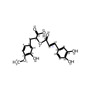 COc1ccc(CC(OC(=O)/C=C/c2ccc(O)c(O)c2)C(=O)O)cc1O